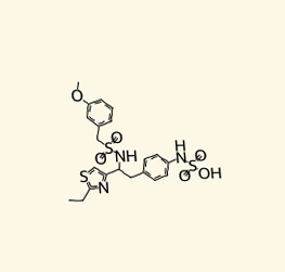 CCc1nc(C(Cc2ccc(NS(=O)(=O)O)cc2)NS(=O)(=O)Cc2cccc(OC)c2)cs1